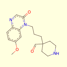 COc1ccc2ncc(=O)n(CCCC3(C=O)CCNCC3)c2c1